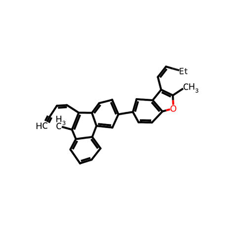 C#C/C=C\c1c(C)c2ccccc2c2cc(-c3ccc4oc(C)c(/C=C\CC)c4c3)ccc12